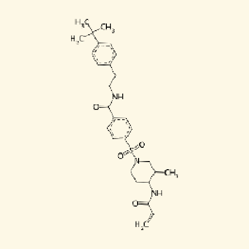 C=CC(=O)NC1CCN(S(=O)(=O)c2ccc(C(=O)NCCc3ccc(C(C)(C)C)cc3)cc2)CC1C